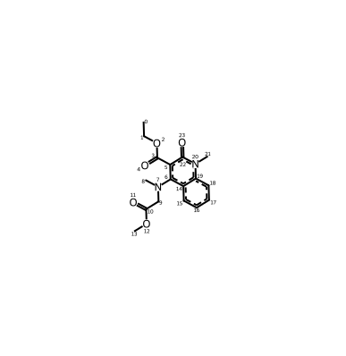 CCOC(=O)c1c(N(C)CC(=O)OC)c2ccccc2n(C)c1=O